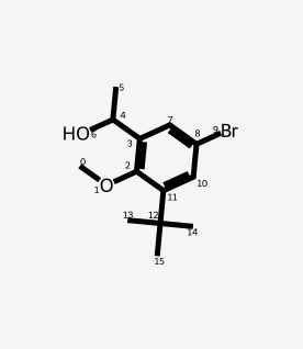 COc1c(C(C)O)cc(Br)cc1C(C)(C)C